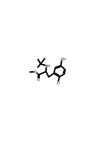 COC(=O)C(Cc1cc(O)ccc1Cl)NC(C)(C)C